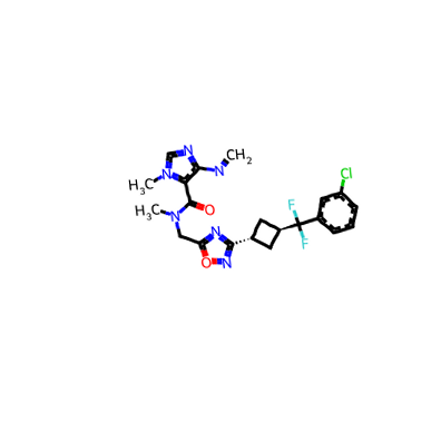 C=Nc1ncn(C)c1C(=O)N(C)Cc1nc([C@H]2C[C@H](C(F)(F)c3cccc(Cl)c3)C2)no1